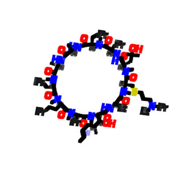 C/C=C/C[C@@H](C)[C@@H](O)[C@H]1C(=O)N[C@H](CC)C(=O)N(C)[C@H](CSCCCN(CC)C(C)C)C(=O)N(C)[C@@H](CC(C)(C)O)C(=O)N[C@H](C(C)C)C(=O)N(C)[C@H](CC(C)C)C(=O)N[C@H](C)C(=O)N[C@@H](C)C(=O)N(C)[C@@H](CC(C)C)C(=O)N(C)[C@H](CCC(C)C)C(=O)N(C)[C@H](C(C)C)C(=O)N1C